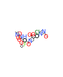 COC[C@H]1CN(c2ccc3c4c(c(=O)oc3c2Cl)CN(C(=O)c2ccc(C(=O)NS(=O)(=O)N(C)C(C)C)c(OC3CCC3)c2F)CC4)CCN1C